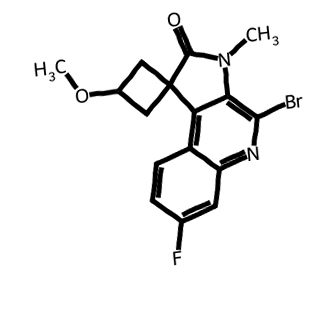 COC1CC2(C1)C(=O)N(C)c1c(Br)nc3cc(F)ccc3c12